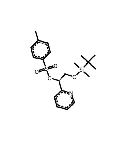 Cc1ccc(S(=O)(=O)O[C@@H](CO[Si](C)(C)C(C)(C)C)c2ccccn2)cc1